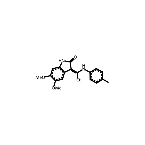 CC/C(Nc1ccc(I)cc1)=C1/C(=O)Nc2cc(OC)c(OC)cc21